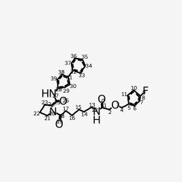 O=C(COCc1ccc(F)cc1)NCCCCCC(=O)N1CCCC1C(=O)Nc1ccc(-c2ccccc2)cc1